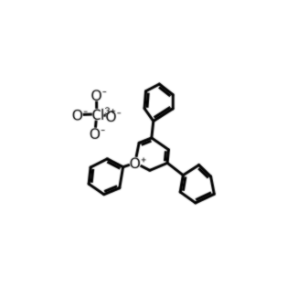 C1=C(c2ccccc2)C=C(c2ccccc2)C[O+]1c1ccccc1.[O-][Cl+3]([O-])([O-])[O-]